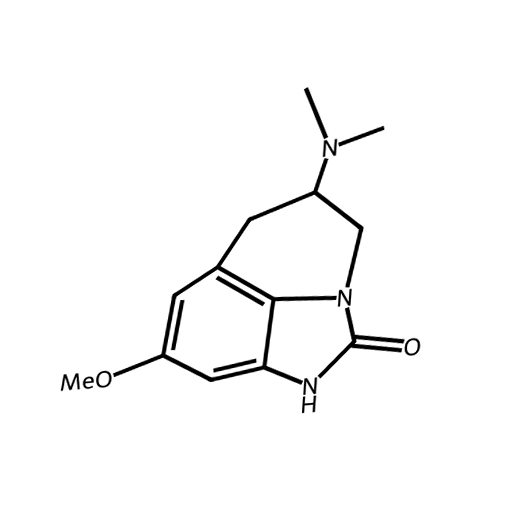 COc1cc2c3c(c1)[nH]c(=O)n3CC(N(C)C)C2